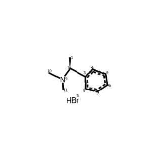 Br.C[C@@H](c1ccccc1)N(C)C